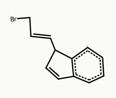 BrC/C=C/C1C=Cc2ccc[c]c21